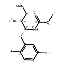 CNC[C@@H](O)[C@@H](Cc1cc(F)ccc1F)NC(=O)OC(C)(C)C